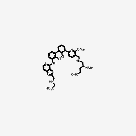 CN[C@@H](CCC=O)CNCc1ccc(-c2cccc(-c3cccc(Nc4nccc5sc(CNCC(=O)O)nc45)c3Cl)c2Cl)nc1OC